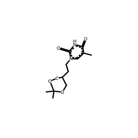 Cc1cn(CCC2COC(C)(C)OC2)c(=O)[nH]c1=O